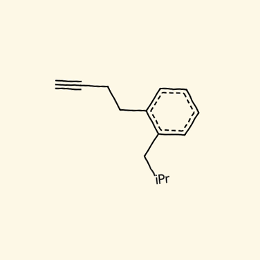 C#CCCc1ccccc1CC(C)C